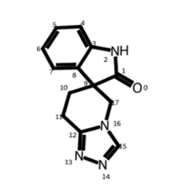 O=C1Nc2ccccc2C12CCc1nncn1C2